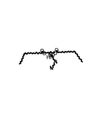 CCCCCCCC/C=C\CCCCCCCCCCCC(=O)OCCCC(CCCOC(=O)CCCCCCCCCCC/C=C\CCCCCCCC)OC(=O)NCCCN(C)CCCCN(C)C